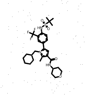 Cc1c(C(=O)NC2CCOCC2)cc(-c2ccc(NS(=O)(=O)C(C)(C)C)c(C(F)(F)F)c2)n1CC1CCCCC1